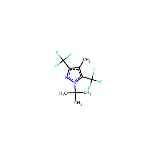 Cc1c(C(F)(F)F)nn(C(C)(C)C)c1C(F)(F)F